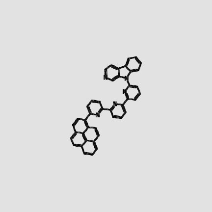 c1cc(-c2cccc(-c3ccc4ccc5cccc6ccc3c4c56)n2)nc(-c2cccc(-n3c4ccccc4c4ccncc43)n2)c1